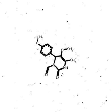 COC1=C(C)NC(=O)N(C=O)C1c1ccc(OC)cc1